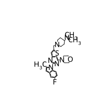 Cc1cc2cc(F)ccc2n1-c1nc(N2CCOCC2)c2sc(CN3CCC(N(C)C)CC3)cc2n1